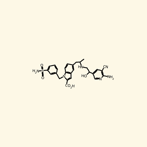 CC(Cc1ccc2c(c1)cc(C(=O)O)n2Cc1cccc(S(N)(=O)=O)c1)NCC(O)c1cnc(N)c(C#N)c1